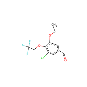 CCOc1cc(C=O)cc(Cl)c1OCC(F)(F)F